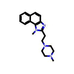 CN1CCN(CCc2nc3ccc4ccccc4c3n2C)CC1